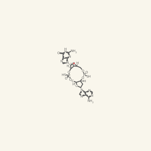 Nc1nc2c(ncn2[C@@H]2O[C@H]3COP(=O)(S)O[C@@H]4C[C@H](n5cnc6c(N)ncnc65)O[C@H]4COP(=O)(S)O[C@@H]2[C@@H]3F)c(=O)[nH]1